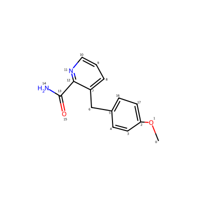 COc1ccc(Cc2cccnc2C(N)=O)cc1